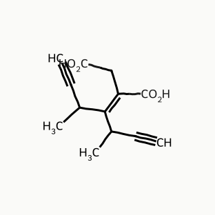 C#CC(C)C(=C(CC(=O)O)C(=O)O)C(C)C#C